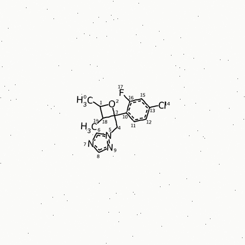 CC1OC(Cn2cncn2)(c2ccc(Cl)cc2F)C1C